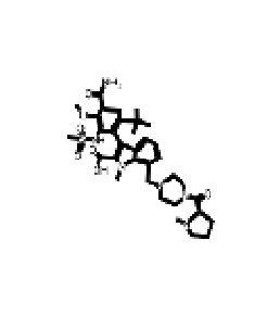 COc1c(C(N)=O)cc(C(C)(C)C)c(-c2c(C(=O)O)n(C)c3c(CN4CCN(C(=O)C5CCCN5C)CC4)cccc23)c1NS(C)(=O)=O